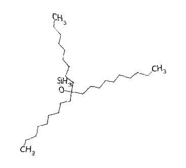 CCCCCCCCCCC(CCCCCCCCC)(CCCCCCCCC)O[SiH3]